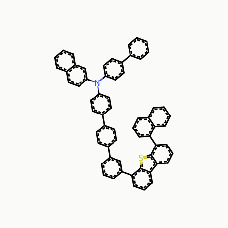 c1ccc(-c2ccc(N(c3ccc(-c4ccc(-c5cccc(-c6cccc7c6sc6c(-c8cccc9ccccc89)cccc67)c5)cc4)cc3)c3ccc4ccccc4c3)cc2)cc1